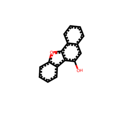 Oc1cc2ccccc2c2oc3ccccc3c12